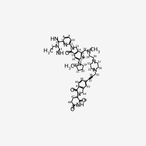 CCN(C=N)C(=N)c1cccc(N2Cc3c(cc(N4CCC[C@H]4C)nc3CN(C)CCN3CCN(CC#Cc4ccc5c(c4)CN(C4CCC(=O)NC4=O)C5=O)CC3)C2=O)n1